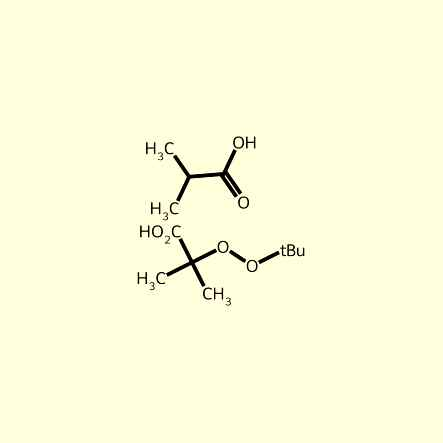 CC(C)(C)OOC(C)(C)C(=O)O.CC(C)C(=O)O